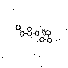 c1ccc(-c2cccc(-c3cnc(-c4ccc(-c5nc6cccc7c6n5-c5ccccc5-c5ccccc5-7)cc4)c4ccccc34)c2)cc1